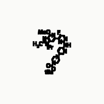 COc1nc(-c2nc(Nc3ccc(N4CCN(C(=O)OC(C)(C)C)CC4)cn3)ncc2F)cc2c1nc(C)n2C(C)C